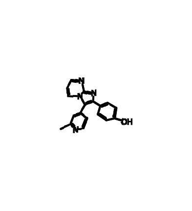 Cc1cc(-c2c(-c3ccc(O)cc3)nc3ncccn23)ccn1